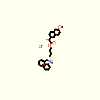 COc1ccc2cc([C@H](C)C(=O)OCCCCS[N+](C)(Cc3ccccc3)c3ccccc3)ccc2c1.[Cl-]